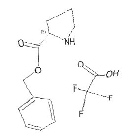 O=C(O)C(F)(F)F.O=C(OCc1ccccc1)[C@@H]1CCCN1